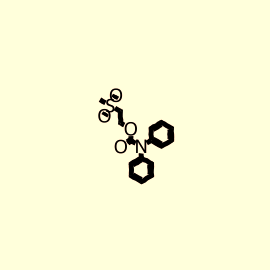 CS(=O)(=O)CCOC(=O)N(c1ccccc1)c1ccccc1